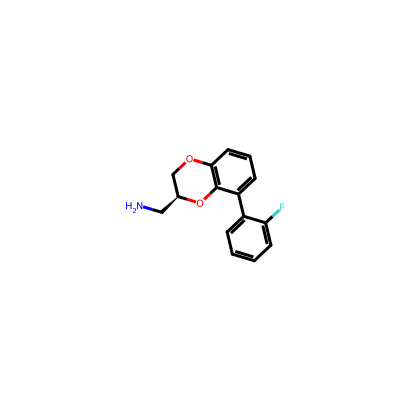 NC[C@H]1COc2cccc(-c3ccccc3F)c2O1